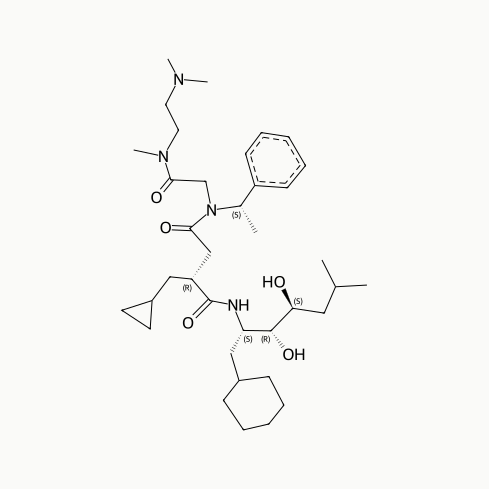 CC(C)C[C@H](O)[C@H](O)[C@H](CC1CCCCC1)NC(=O)[C@@H](CC(=O)N(CC(=O)N(C)CCN(C)C)[C@@H](C)c1ccccc1)CC1CC1